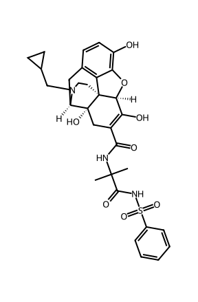 CC(C)(NC(=O)C1=C(O)[C@@H]2Oc3c(O)ccc4c3[C@@]23CCN(CC2CC2)[C@H](C4)[C@]3(O)C1)C(=O)NS(=O)(=O)c1ccccc1